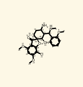 CNC(c1ccccc1OC)C1C(N)C[C@@H](C)[C@]2(Oc3c(Cl)c(OC)cc(OC)c3C2=O)[C@@H]1O